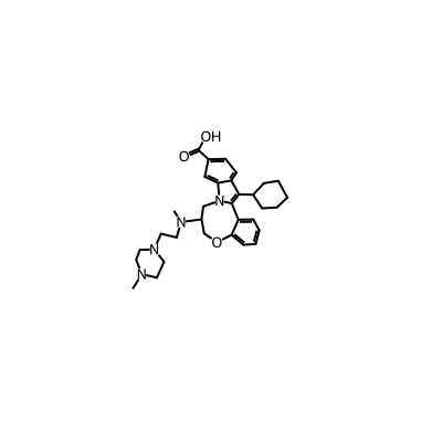 CN1CCN(CCN(C)C2COc3ccccc3-c3c(C4CCCCC4)c4ccc(C(=O)O)cc4n3C2)CC1